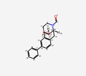 O=CN1CC[C@]23CCCC[C@H]2[C@H]1Cc1ccc(-c2ccccc2)cc13